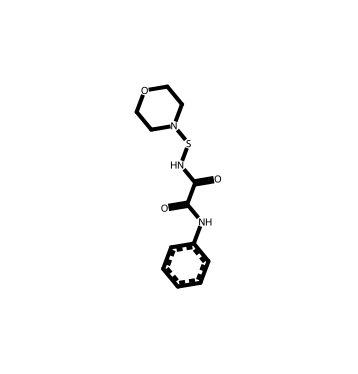 O=C(NSN1CCOCC1)C(=O)Nc1ccccc1